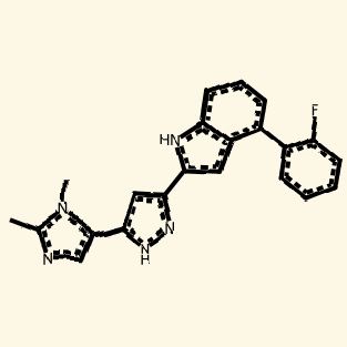 Cc1ncc(-c2cc(-c3cc4c(-c5ccccc5F)cccc4[nH]3)n[nH]2)n1C